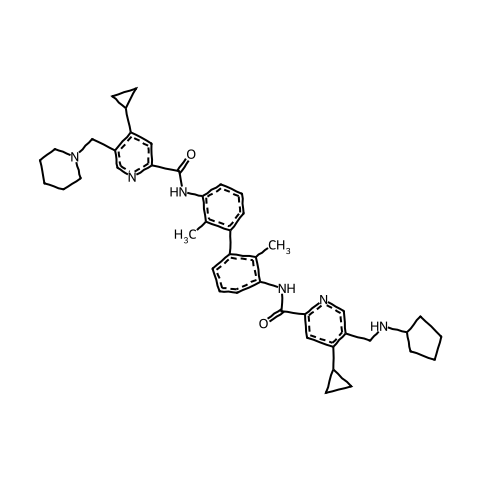 Cc1c(NC(=O)c2cc(C3CC3)c(CNC3CCCC3)cn2)cccc1-c1cccc(NC(=O)c2cc(C3CC3)c(CN3CCCCC3)cn2)c1C